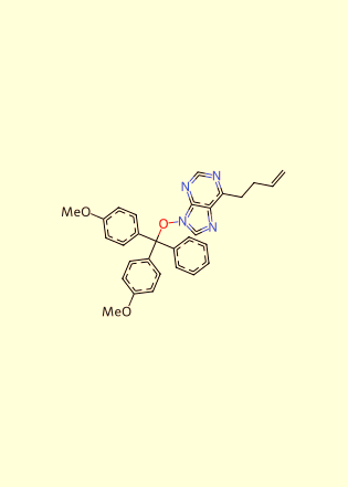 C=CCCc1ncnc2c1ncn2OC(c1ccccc1)(c1ccc(OC)cc1)c1ccc(OC)cc1